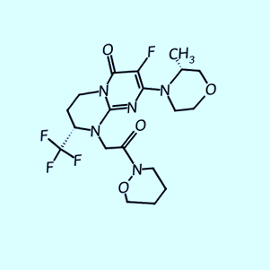 C[C@@H]1COCCN1c1nc2n(c(=O)c1F)CC[C@@H](C(F)(F)F)N2CC(=O)N1CCCCO1